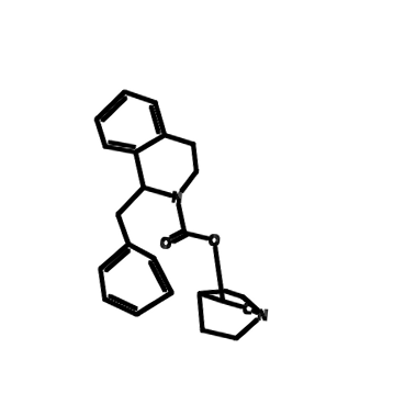 O=C(OC1CN2CCC1CC2)N1CCc2ccccc2C1Cc1ccccc1